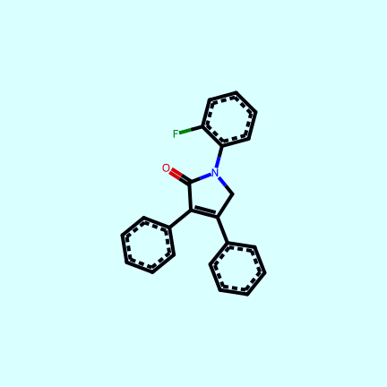 O=C1C(c2ccccc2)=C(c2ccccc2)CN1c1ccccc1F